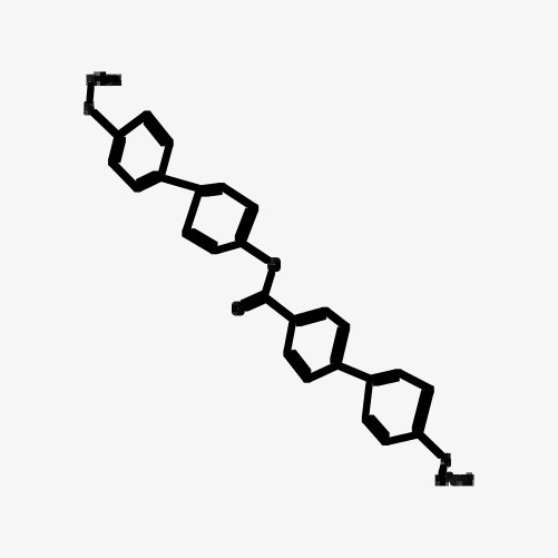 CCCCCCSc1ccc(-c2ccc(OC(=O)c3ccc(-c4ccc(SCCCCC)cc4)cc3)cc2)cc1